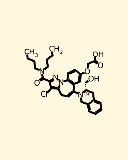 CCCCN(CCCC)C(=O)c1nn2c(c1Cl)CC=C(N1Cc3ccccc3C[C@H]1CO)c1cc(OCC(=O)O)ccc1-2